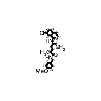 C=C/C(=C\C=C(/C)C(=O)NCc1ccc(OC)cc1)Nc1nccc2ccc(Cl)cc12